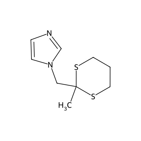 CC1(Cn2ccnc2)SCCCS1